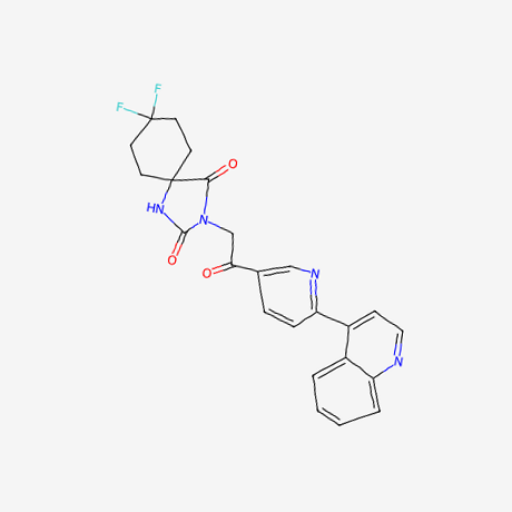 O=C(CN1C(=O)NC2(CCC(F)(F)CC2)C1=O)c1ccc(-c2ccnc3ccccc23)nc1